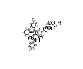 C=C(CCn1c(-c2ccc(F)cc2)c(-c2ccccc2)c(C(=O)Nc2ccccc2)c1C(C)C)C[C@@H](O)CC(=O)O